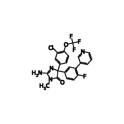 CN1C(=O)C(c2ccc(OC(F)(F)F)c(Cl)c2)(c2ccc(F)c(-c3cccnc3)c2)N=C1N